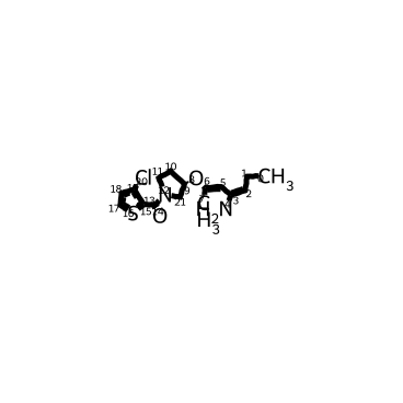 CC/C=C(N)\C=C(/C)O[C@H]1CCN(C(=O)c2sccc2Cl)C1